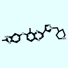 Cc1nc2ccc(Oc3ccc4ncc(-c5cnn(CC6CCNCC6)c5)nc4c3C)cc2[nH]1